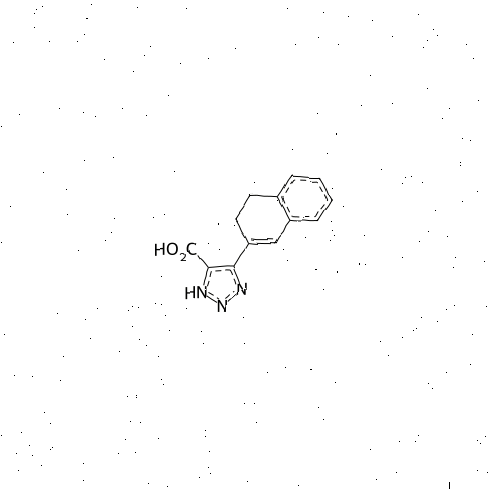 O=C(O)c1[nH]nnc1C1=Cc2ccccc2CC1